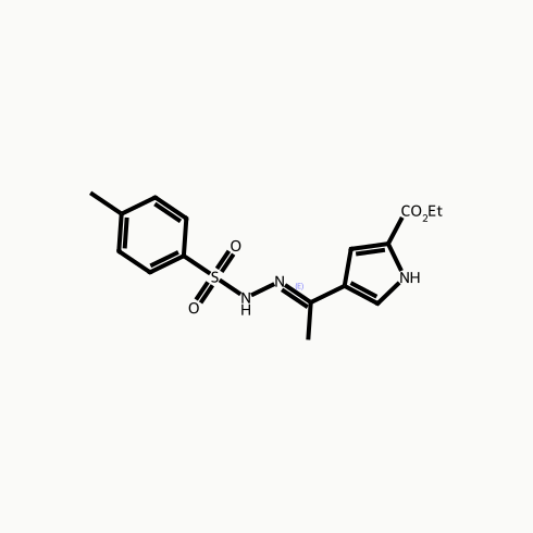 CCOC(=O)c1cc(/C(C)=N/NS(=O)(=O)c2ccc(C)cc2)c[nH]1